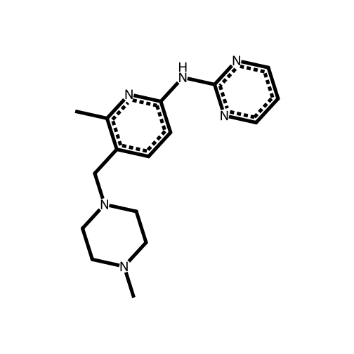 Cc1nc(Nc2ncccn2)ccc1CN1CCN(C)CC1